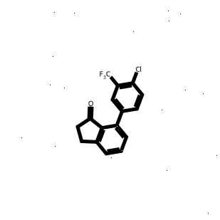 O=C1CCc2cccc(-c3ccc(Cl)c(C(F)(F)F)c3)c21